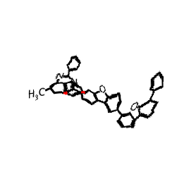 C\C1=C(c2ccccc2)/N=C(c2ccccc2)\N=C(\c2ccc3c(c2)oc2ccc(-c4cccc5c4oc4c(-c6ccccc6)cccc45)cc23)CC1